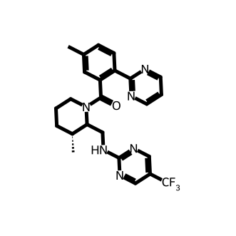 Cc1ccc(-c2ncccn2)c(C(=O)N2CCC[C@@H](C)C2CNc2ncc(C(F)(F)F)cn2)c1